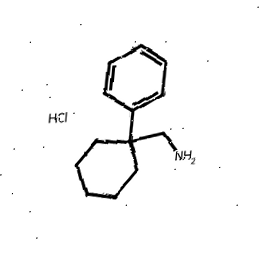 Cl.NCC1(c2ccccc2)CCCCC1